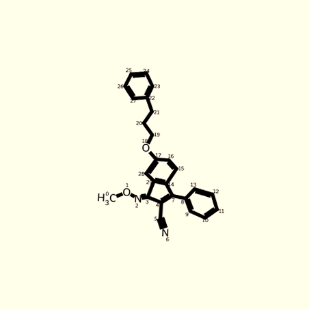 CON=C1C(C#N)=C(c2ccccc2)c2ccc(OCCCc3ccccc3)cc21